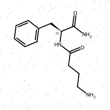 NCCCC(=O)N[C@@H](Cc1ccccc1)C(N)=O